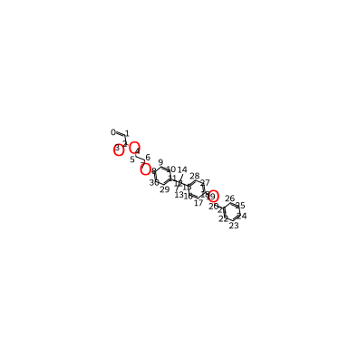 C=CC(=O)OCCOc1ccc(C(C)(C)c2ccc(OCc3ccccc3)cc2)cc1